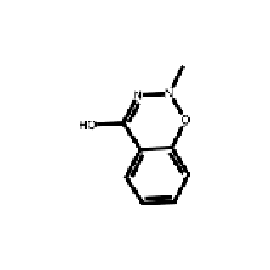 CN1N=C(O)c2ccccc2O1